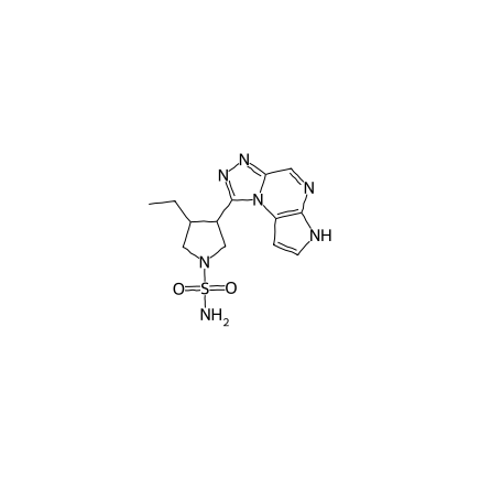 CCC1CN(S(N)(=O)=O)CC1c1nnc2cnc3[nH]ccc3n12